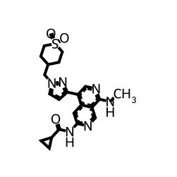 CNc1ncc(-c2ccn(CC3CCS(=O)(=O)CC3)n2)c2cc(NC(=O)C3CC3)ncc12